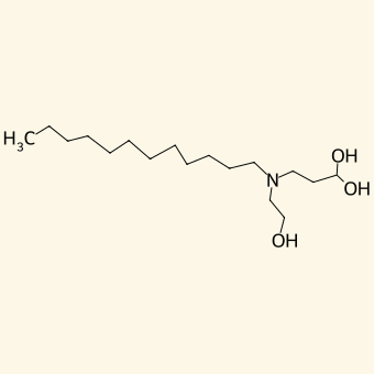 CCCCCCCCCCCCN(CCO)CCC(O)O